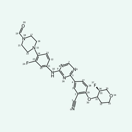 N#Cc1cc(-c2ncnc(Nc3ccc(N4CCN(C=O)CC4)c(F)c3)n2)ccc1OC1CCOC[C@@H]1F